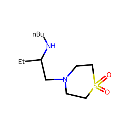 CCCCNC(CC)CN1CCS(=O)(=O)CC1